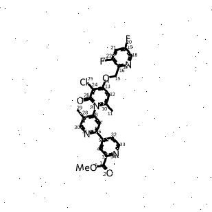 COC(=O)c1cc(-c2cc(-n3c(C)cc(OCc4ncc(F)cc4F)c(Cl)c3=O)c(C)cn2)ccn1